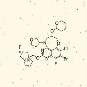 Fc1c(Br)c(Cl)c2c3c(nc(OC[C@@]45CCCN4C[C@H](F)C5)nc13)N(C1CCOC1)CC(OC1CCCCO1)CO2